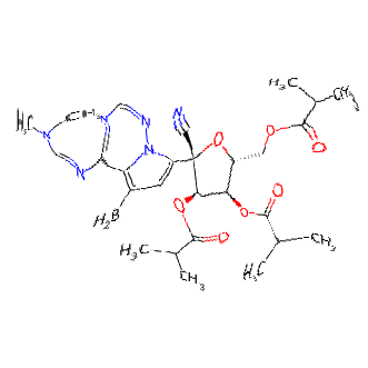 Bc1cc([C@]2(C#N)O[C@H](COC(=O)C(C)C)[C@@H](OC(=O)C(C)C)[C@H]2OC(=O)C(C)C)n2ncnc(/N=C\N(C)C)c12